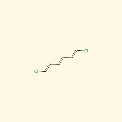 ClC=CC=CC=CCl